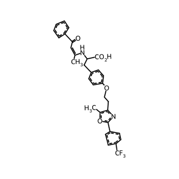 C/C(=C/C(=O)c1ccccc1)NC(Cc1ccc(OCCc2nc(-c3ccc(C(F)(F)F)cc3)oc2C)cc1)C(=O)O